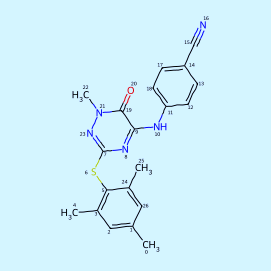 Cc1cc(C)c(Sc2nc(Nc3ccc(C#N)cc3)c(=O)n(C)n2)c(C)c1